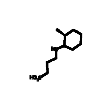 C[C@H]1CCCCC1NCCCS(=O)(=O)O